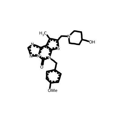 COc1ccc(Cn2c(=O)n3ncnc3c3c(C)c(CN4CCC(O)CC4)sc32)cc1